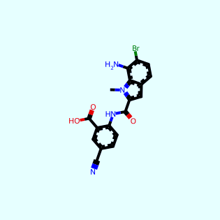 Cn1c(C(=O)Nc2ccc(C#N)cc2C(=O)O)cc2ccc(Br)c(N)c21